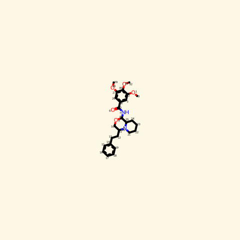 COc1cc(C(=O)NC2OCC(CCc3ccccc3)N3CCCCC23)cc(OC)c1OC